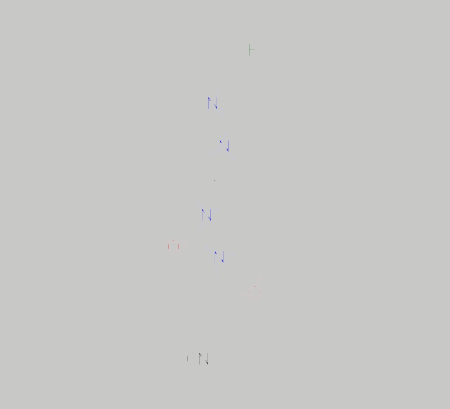 CC1CN(C(=O)N2CC3(C2)CN(c2ccc(F)cn2)C3)c2ccc(C#N)cc2O1